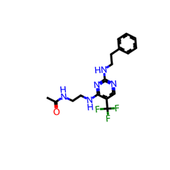 CC(=O)NCCNc1nc(NCCc2ccccc2)ncc1C(F)(F)F